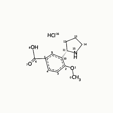 COc1ccc(C(=O)O)cc1[C@@H]1CCCN1.Cl